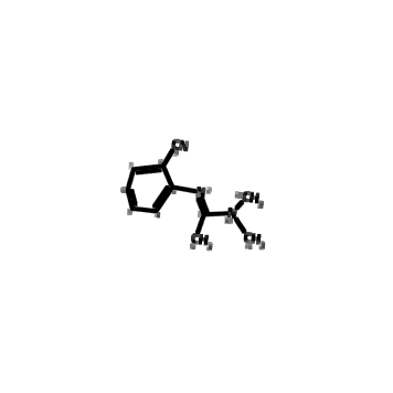 C/C(=N\c1ccccc1C#N)N(C)C